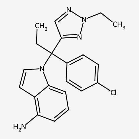 CCn1ncc(C(CC)(c2ccc(Cl)cc2)n2ccc3c(N)cccc32)n1